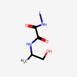 CC(CO)NC(=O)C(=O)NI